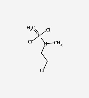 C=P(Cl)(Cl)N(C)CCCl